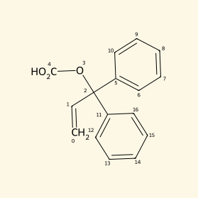 C=CC(OC(=O)O)(c1ccccc1)c1ccccc1